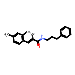 CC(=O)C(=Cc1ccc(C)cc1C)C(=O)NCCCc1ccccc1